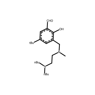 CCCCN(CCCC)CCN(C)Cc1cc(C(C)(C)C)cc(C=O)c1O